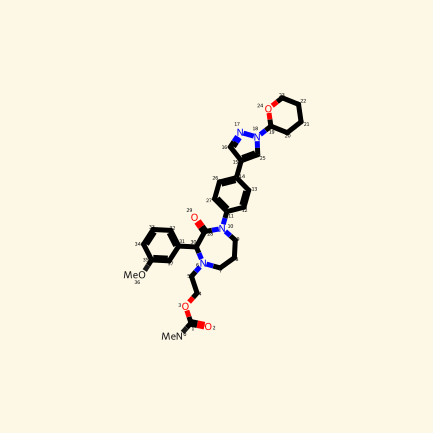 CNC(=O)OCCN1CCCN(c2ccc(-c3cnn(C4CCCCO4)c3)cc2)C(=O)C1c1cccc(OC)c1